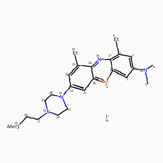 CCc1cc(N(C)C)cc2[s+]c3cc(N4CCN(CCOC)CC4)cc(CC)c3nc12.[I-]